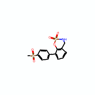 CS(=O)(=O)c1ccc(-c2cccc3c2OS(=O)(=O)NC3)cc1